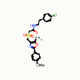 COc1ccc(-c2nc(CS(=O)(=O)CC(=O)NCCc3ccc(Cl)cc3)c(C)o2)cc1